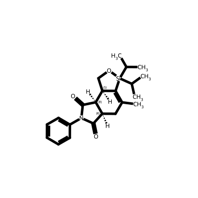 CC1=C2[C@H](CO[Si]2(C(C)C)C(C)C)[C@@H]2C(=O)N(c3ccccc3)C(=O)[C@@H]2C1